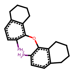 Pc1ccc2c(c1Oc1c(P)ccc3c1CCCC3)CCCC2